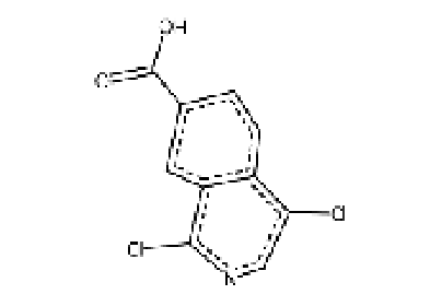 O=C(O)c1ccc2c(Cl)cnc(Cl)c2c1